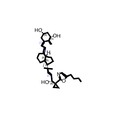 C=C1/C(=C\C=C2/CCC[C@]3(C)[C@@H](C(C)(C)/C=C/[C@@H](O)C4(c5ncc(CCCC)o5)CC4)CC[C@@H]23)C[C@@H](O)C[C@@H]1O